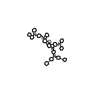 c1ccc(-c2ccc(N(c3ccc(-c4ccccc4)cc3)c3ccc(-n4c5cc(N(c6ccccc6)c6ccccc6)ccc5c5c6oc7c(ccc8c7c7ccccc7n8-c7ccc(N(c8ccccc8)c8cccc9ccccc89)cc7)c6ccc54)cc3)cc2)cc1